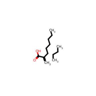 C=C(CCCCCC)C(=O)O.CCCC